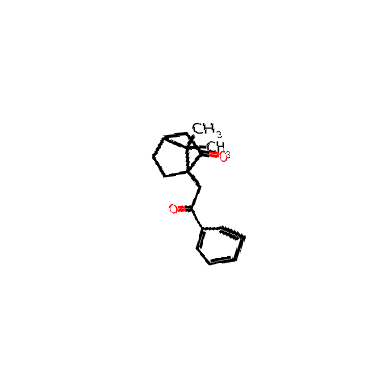 CC1(C)C2CCC1(CC(=O)c1ccccc1)C(=O)C2